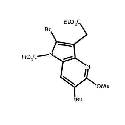 CCOC(=O)Cc1c(Br)n(C(=O)O)c2cc(C(C)(C)C)c(OC)nc12